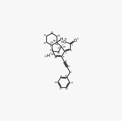 O=C1C=C2C(C#CCc3ccccc3)=C[C@@H]3C[C@@]2(O1)[C@H]1CCCCN31